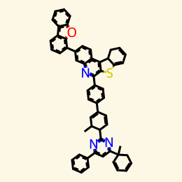 CC1C=C(c2ccc(-c3nc4cc(-c5cccc6c5oc5ccccc56)ccc4c4c3SC3=CC=CCC34)cc2)C=CC1c1nc(-c2ccccc2)cc(C2(C)C=CC=CC2)n1